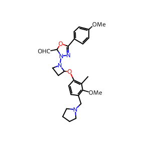 COc1ccc(C2=NN(N3CCC3Oc3ccc(CN4CCCC4)c(OC)c3C)C(C=O)O2)cc1